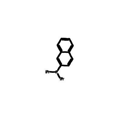 CC(C)P(c1ccc2ccccc2c1)C(C)C